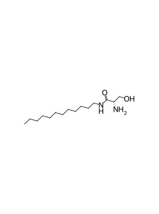 CCCCCCCCCCCCNC(=O)[C@@H](N)CO